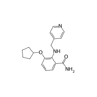 NC(=O)c1cccc(OC2CCCC2)c1NCc1ccncc1